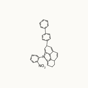 O=[N+]([O-])c1ccccc1-n1c2c3c4c1=CCCC4C=CC3=CC(c1ccc(-c3ccccc3)cc1)C=2